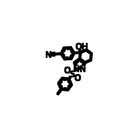 Cc1ccc(S(=O)(=O)n2cc3c(n2)CCCC3(O)c2ccc(C#N)cc2)cc1